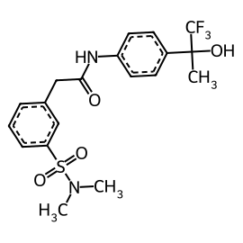 CN(C)S(=O)(=O)c1cccc(CC(=O)Nc2ccc(C(C)(O)C(F)(F)F)cc2)c1